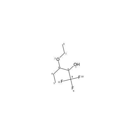 CCOC(CC)C(O)C(F)(F)F